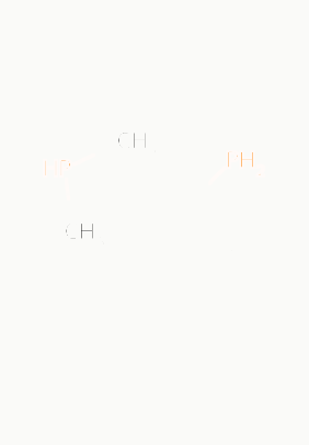 CPC.Pc1ccccc1